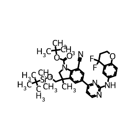 CC(C)(C)OC(=O)N1CC(C)(CO[Si](C)(C)C(C)(C)C)c2cc(-c3ccnc(Nc4ccc5c(c4)C(F)(F)CCO5)n3)cc(C#N)c21